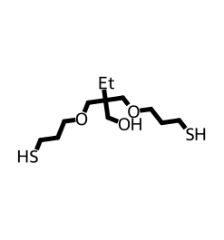 CCC(CO)(COCCCS)COCCCS